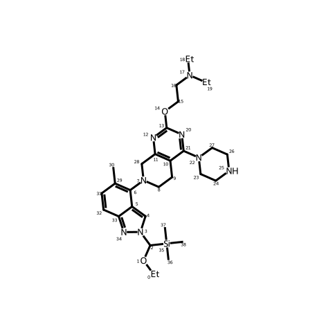 CCOC(n1cc2c(N3CCc4c(nc(OCCN(CC)CC)nc4N4CCNCC4)C3)c(C)ccc2n1)[Si](C)(C)C